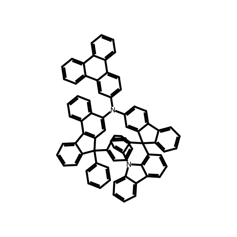 c1ccc(C2(c3ccccc3)c3ccccc3-c3c2cc(N(c2ccc4c(c2)C2(c5ccccc5-4)c4ccccc4-n4c5ccccc5c5cccc2c54)c2ccc4c5ccccc5c5ccccc5c4c2)c2ccccc32)cc1